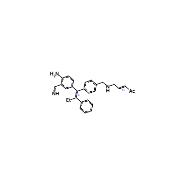 CC/C(=C(/c1ccc(CNC/C=C/C(C)=O)cc1)c1ccc(N)c(C=N)c1)c1ccccc1